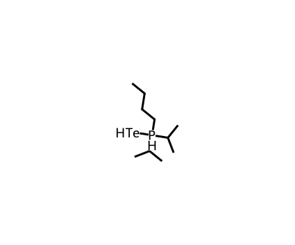 CCCC[PH]([TeH])(C(C)C)C(C)C